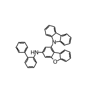 c1ccc(-c2ccccc2Nc2cc(-n3c4ccccc4c4ccccc43)c3c(c2)oc2ccccc23)cc1